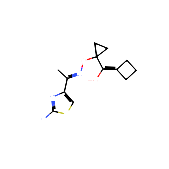 C/C(=N\OC1(C(O)=C2CCC2)CC1)c1csc(N)n1